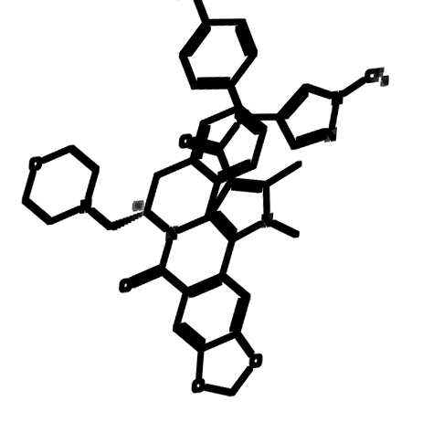 Cc1c(C(=O)N(c2ccc(O)cc2)c2cnn(C(F)(F)F)c2)cc(-c2cc3c(cc2C(=O)N2Cc4ccccc4C[C@H]2CN2CCOCC2)OCO3)n1C